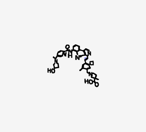 Cc1cc(/C=C/c2nccc(-c3cccc(NC(=O)c4ccc(C(C)N5CCC(O)C5)cn4)c3C)c2C#N)c(Cl)cc1CN1CCC(C)(C(=O)O)C1